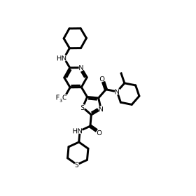 CC1CCCCN1C(=O)c1nc(C(=O)NC2CCSCC2)sc1-c1cnc(NC2CCCCC2)cc1C(F)(F)F